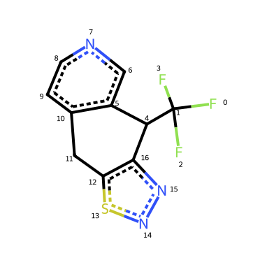 FC(F)(F)C1c2cnccc2Cc2snnc21